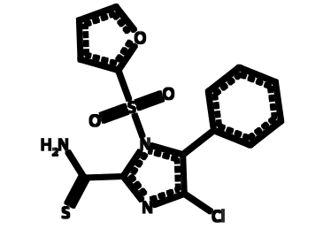 NC(=S)c1nc(Cl)c(-c2ccccc2)n1S(=O)(=O)c1ccco1